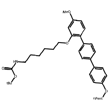 CCCCCOc1ccc(-c2ccc(-c3ccc(OC)cc3OCCCCCCNC(=O)OC(C)(C)C)cc2)cc1